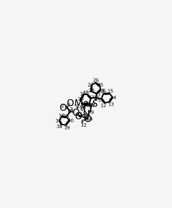 COC(=O)[C@@H](OC[C@@H]1C[C@@H](SC(c2ccccc2)(c2ccccc2)c2ccccc2)CN1S(C)(=O)=O)c1ccccc1